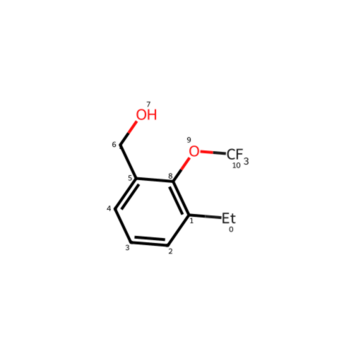 CCc1cccc([CH]O)c1OC(F)(F)F